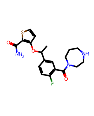 CC(Oc1ccsc1C(N)=O)c1ccc(F)c(C(=O)N2CCCNCC2)c1